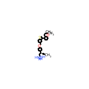 CC#C[C@@H](CC1NN=NN1)c1ccc(OCc2ccc3scc(-c4cccc5c4CCC(C)(C)O5)c3c2)cc1